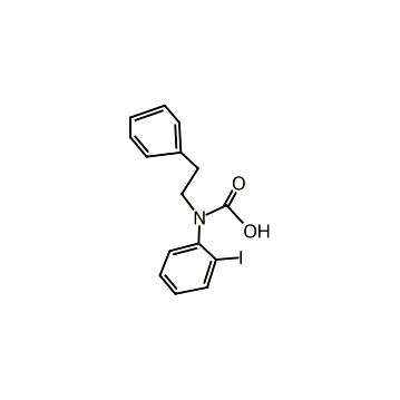 O=C(O)N(CCc1ccccc1)c1ccccc1I